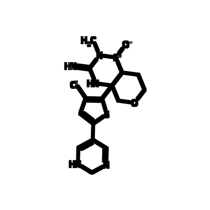 CN1C(=N)NC2(c3sc(C4=CNCN=C4)cc3Cl)COCCC2[S+]1[O-]